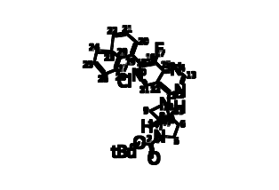 CC(C)(C)OC(=O)N1CC[C@@H]2[C@H]1CN2c1ncnc2c(F)c(-c3cccc4cccc(Cl)c34)ncc12